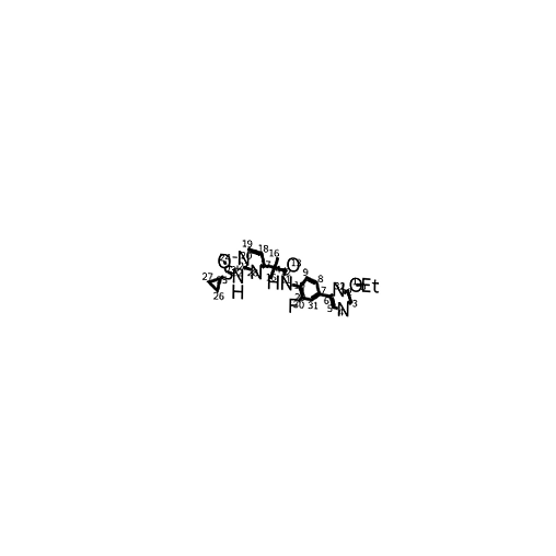 CCOc1cncc(-c2ccc(NC(=O)C(C)(C)c3ccnc(N[S+]([O-])C4CC4)n3)c(F)c2)n1